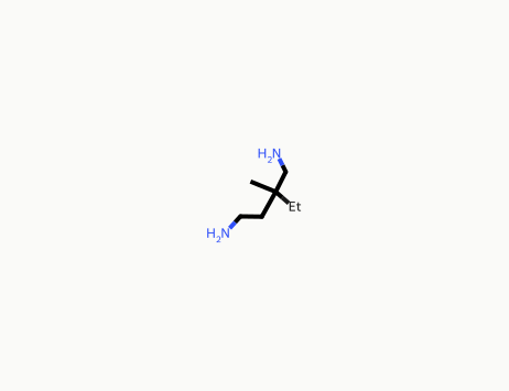 CCC(C)(CN)CCN